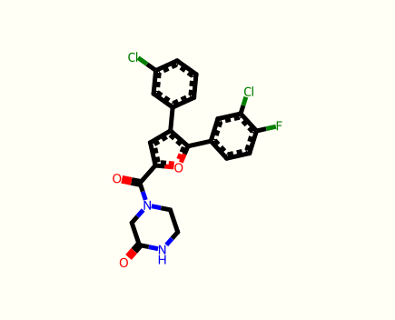 O=C1CN(C(=O)c2cc(-c3cccc(Cl)c3)c(-c3ccc(F)c(Cl)c3)o2)CCN1